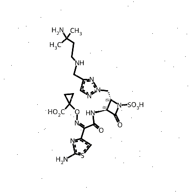 CC(C)(N)CCNCc1cnn(C[C@H]2[C@H](NC(=O)C(=NOC3(C(=O)O)CC3)c3csc(N)n3)C(=O)N2S(=O)(=O)O)n1